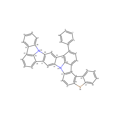 c1ccc(-c2ccc3c4c5c(ccc4n4c6cc7c8cccc9c%10ccccc%10n(c7cc6c2c34)c98)sc2ccccc25)cc1